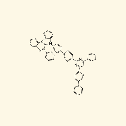 c1ccc(-c2ccc(-c3cc(-c4ccccc4)nc(-c4ccc(-c5ccc(-n6c7ccccc7c7c8ccccc8nc(-c8ccccc8)c76)cc5)cc4)n3)cc2)cc1